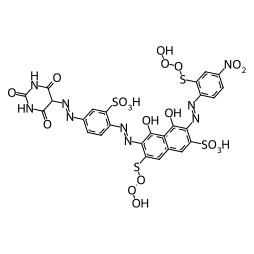 O=C1NC(=O)C(N=Nc2ccc(N=Nc3c(SOOO)cc4cc(S(=O)(=O)O)c(N=Nc5ccc([N+](=O)[O-])cc5SOOO)c(O)c4c3O)c(S(=O)(=O)O)c2)C(=O)N1